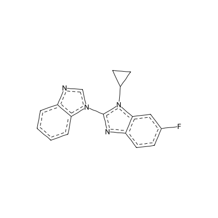 Fc1ccc2nc(-n3cnc4ccccc43)n(C3CC3)c2c1